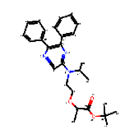 CC(OCCN(c1cnc(-c2ccccc2)c(-c2ccccc2)n1)C(C)C)C(=O)OC(C)(C)C